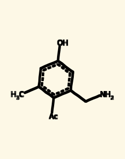 CC(=O)c1c(C)cc(O)cc1CN